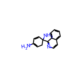 NC1=CCC(N)(c2nccc3ccccc23)C=C1